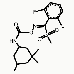 CC1CC(NC(=O)ON=C(c2c(F)cccc2F)S(C)(=O)=O)CC(C)(C)C1